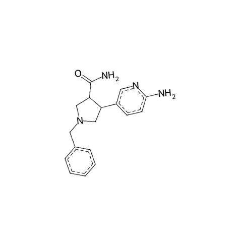 NC(=O)C1CN(Cc2ccccc2)CC1c1ccc(N)nc1